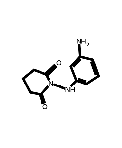 Nc1cccc(NN2C(=O)CCCC2=O)c1